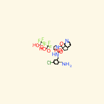 NCc1ccc(Cl)cc1CNC(=O)[C@@H]1CCCN1C(=O)C1(O)CCc2ccncc21.O=C(O)C(F)(F)F.O=C(O)C(F)(F)F